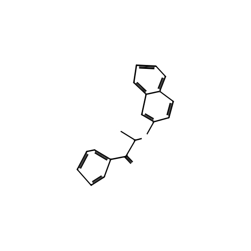 O=C(c1ccccc1)C(Br)Oc1ccc2ccccc2c1